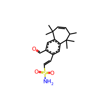 CC1C=CC(C)(C)c2cc(C=O)c(/C=C/S(N)(=O)=O)cc2C1(C)C